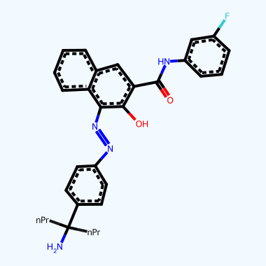 CCCC(N)(CCC)c1ccc(N=Nc2c(O)c(C(=O)Nc3cccc(F)c3)cc3ccccc23)cc1